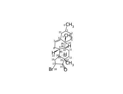 CC1CC[C@@]2(C)C(=CC[C@@H]3[C@H]2CC[C@]2(C)C(=O)C(Br)C[C@@H]32)C1